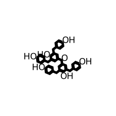 O=C(c1cc(Cc2ccc(O)cc2)c(O)c(Cc2ccc(O)cc2)c1)c1cc(Cc2ccc(O)cc2)c(O)c(Cc2ccc(O)cc2)c1